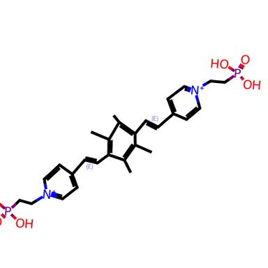 Cc1c(C)c(/C=C/c2cc[n+](CCP(=O)(O)O)cc2)c(C)c(C)c1/C=C/c1cc[n+](CCP(=O)(O)O)cc1